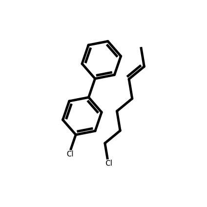 CC=CCCCCCl.Clc1ccc(-c2ccccc2)cc1